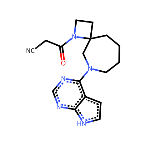 N#CCC(=O)N1CCC12CCCCN(c1ncnc3[nH]ccc13)C2